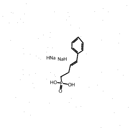 O=P(O)(O)CCC=Cc1ccccc1.[NaH].[NaH]